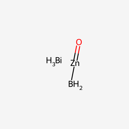 [BH2][Zn]=[O].[BiH3]